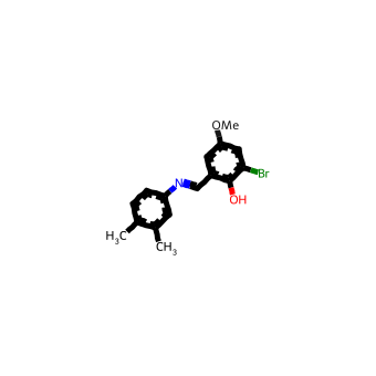 COc1cc(Br)c(O)c(/C=N/c2ccc(C)c(C)c2)c1